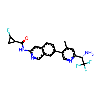 Cc1cc([C@H](N)C(F)(F)F)ncc1-c1ccc2cc(NC(=O)C3CC3F)ncc2c1